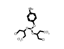 CC(C)(C)c1ccc(OP(OC(CCl)CC(Cl)(Cl)Cl)OC(CCl)CC(Cl)(Cl)Cl)cc1